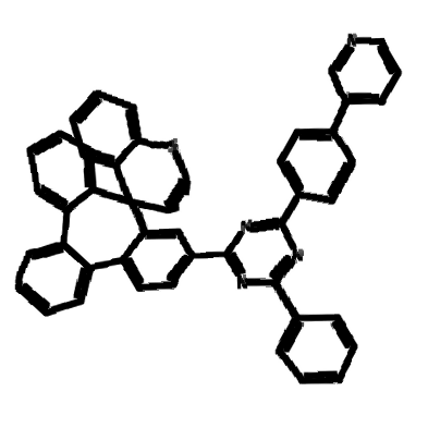 c1ccc(-c2nc(-c3ccc(-c4cccnc4)cc3)nc(-c3ccc4c(c3)C3(c5ccccc5Sc5ccccc53)c3ccccc3-c3ccccc3-4)n2)cc1